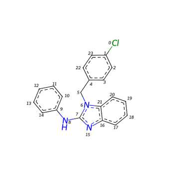 Clc1ccc(Cn2c(Nc3ccccc3)nc3ccccc32)cc1